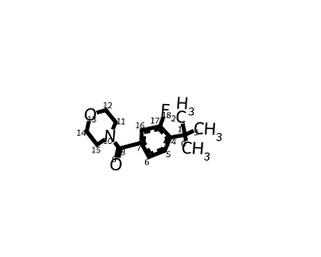 CC(C)(C)c1ccc(C(=O)N2CCOCC2)cc1F